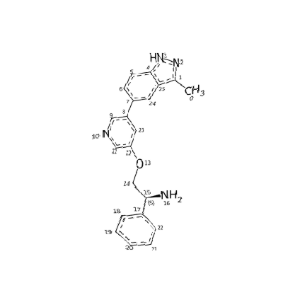 Cc1n[nH]c2ccc(-c3cncc(OC[C@@H](N)c4ccccc4)c3)cc12